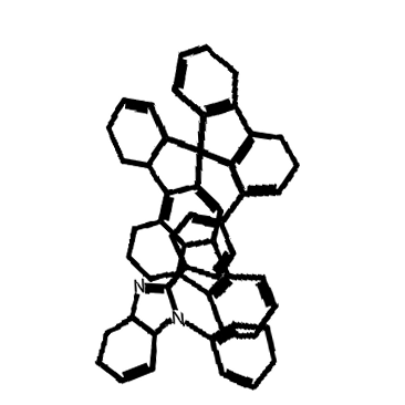 C1=CC(N2C(C3C=CC(C4=CCCC5=C4C4(C6=CC7C8=C(CCC=C8)C8CCCC(=C6C6CCC=CC64)C78)C4=C5CCC=C4)=CC3)=NC3CCC=CC32)=CCC1